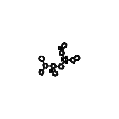 C1=CC(c2cc(-c3ccccc3)cc(-c3ccc(-c4cccc(-c5nc(-c6ccc7ccccc7c6)nc(-c6ccc7oc8ccccc8c7c6)n5)c4)c4c3oc3ccccc34)c2)=CCC1